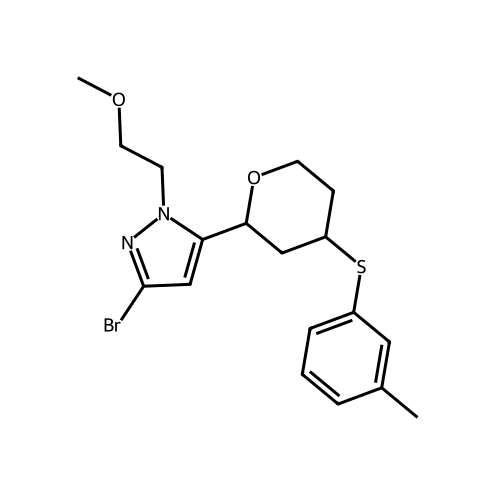 COCCn1nc(Br)cc1C1CC(Sc2cccc(C)c2)CCO1